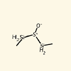 C[SiH2][S+]([O-])[SiH2]C